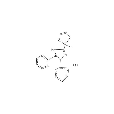 CC1(C2=NN(c3ccccc3)N(c3ccccc3)N2)CC=CO1.Cl